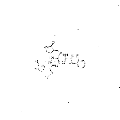 O=C(Nc1ccccc1F)C(=O)N[C@@H](CC1CCNC1=O)C(=O)N[C@@H](C[C@@H]1CCNC1=O)C(=O)COC(F)(F)F